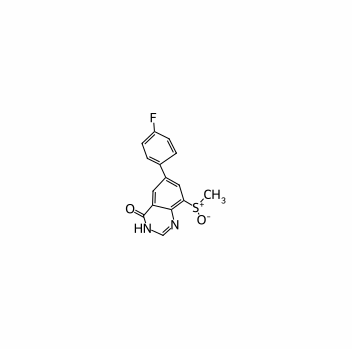 C[S+]([O-])c1cc(-c2ccc(F)cc2)cc2c(=O)[nH]cnc12